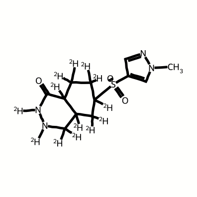 [2H]N1C(=O)C2([2H])C([2H])([2H])C([2H])([2H])C([2H])(S(=O)(=O)c3cnn(C)c3)C([2H])([2H])C2([2H])C([2H])([2H])N1[2H]